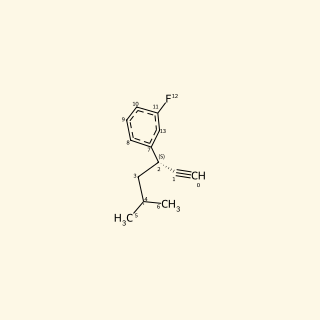 C#C[C@H](C[C](C)C)c1cccc(F)c1